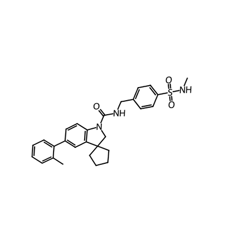 CNS(=O)(=O)c1ccc(CNC(=O)N2CC3(CCCC3)c3cc(-c4ccccc4C)ccc32)cc1